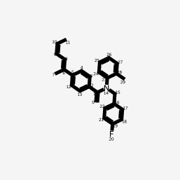 C=C(c1ccc(/C(C)=C/C=C\C)cc1)N(Cc1ccc(F)cc1)c1ccccc1C